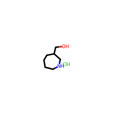 Cl.OCC1CCCCNC1